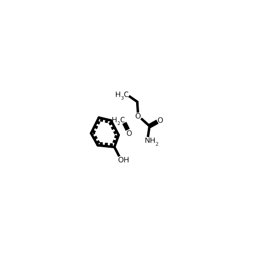 C=O.CCOC(N)=O.Oc1ccccc1